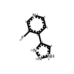 Fc1cnccc1-c1c[nH]nn1